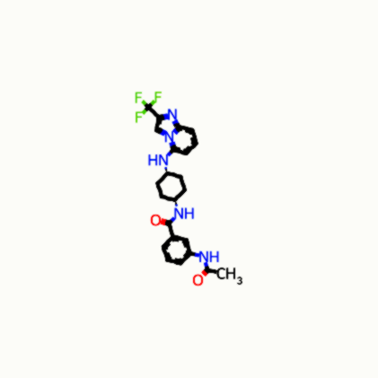 CC(=O)Nc1cccc(C(=O)N[C@H]2CC[C@@H](Nc3cccc4nc(C(F)(F)F)cn34)CC2)c1